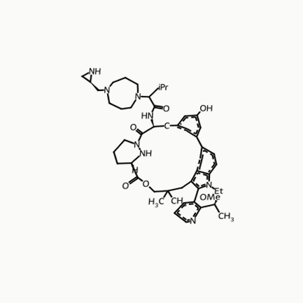 CCn1c(-c2cccnc2[C@H](C)OC)c2c3cc(ccc31)-c1cc(O)cc(c1)C[C@H](NC(=O)C(C(C)C)N1CCCN(C[C@H]3CN3)CCC1)C(=O)N1CCC[C@H](N1)C(=O)OCC(C)(C)C2